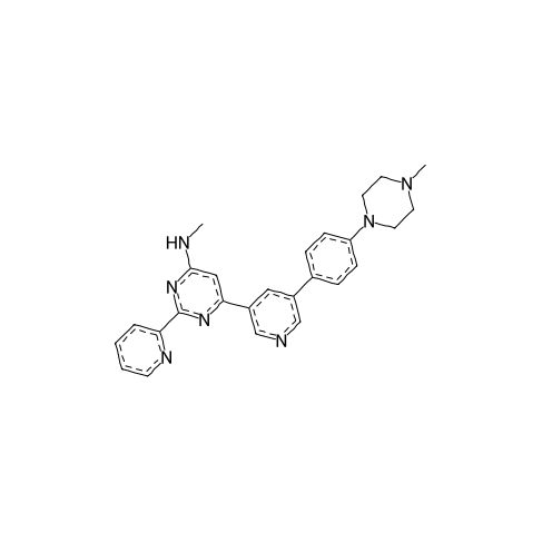 CNc1cc(-c2cncc(-c3ccc(N4CCN(C)CC4)cc3)c2)nc(-c2ccccn2)n1